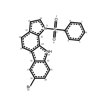 O=S(=O)(c1ccccc1)n1ccc2ccc3c4cc(Br)ccc4[nH]c3c21